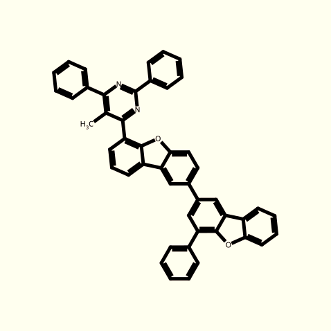 Cc1c(-c2ccccc2)nc(-c2ccccc2)nc1-c1cccc2c1oc1ccc(-c3cc(-c4ccccc4)c4oc5ccccc5c4c3)cc12